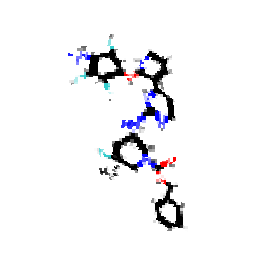 C[C@]1(F)C[C@H](Nc2nccc(-c3cccnc3Oc3cc(F)c(N)c(F)c3F)n2)CN(C(=O)OCc2ccccc2)C1